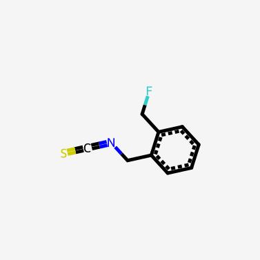 FCc1ccccc1CN=C=S